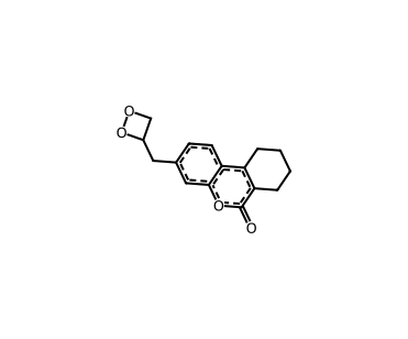 O=c1oc2cc(CC3COO3)ccc2c2c1CCCC2